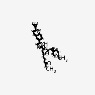 CCC(=O)CCCCC[C@H](NC(=O)[C@H]1CC12CCN(C)CC2)c1ncc(-c2ccc3nc(C4CC4)ccc3c2)o1